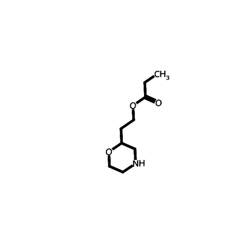 CCC(=O)OCCC1CNCCO1